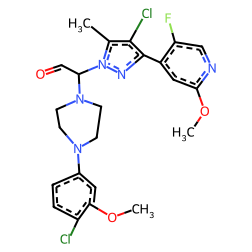 COc1cc(-c2nn(C(C=O)N3CCN(c4ccc(Cl)c(OC)c4)CC3)c(C)c2Cl)c(F)cn1